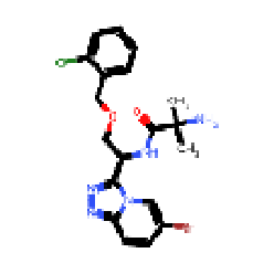 CC(C)(N)C(=O)NC(COCc1ccccc1Cl)c1nnc2ccc(Br)cn12